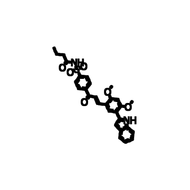 CCCC(=O)NS(=O)(=O)c1ccc(C(=O)C=Cc2cc(-c3cc4ccccc4[nH]3)c(OC)cc2OC)cc1